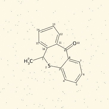 CC1Sc2ccccc2C(=O)c2ccccc21